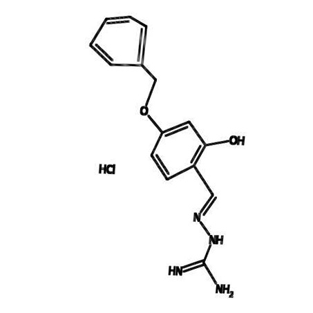 Cl.N=C(N)NN=Cc1ccc(OCc2ccccc2)cc1O